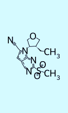 CC[C@@H]1COC[C@H]1n1c(C#N)cc2cnc(S(C)(=O)=O)nc21